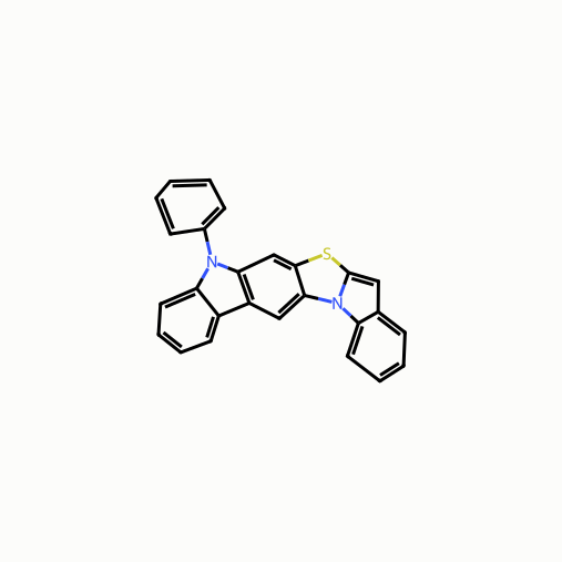 c1ccc(-n2c3ccccc3c3cc4c(cc32)sc2cc3ccccc3n24)cc1